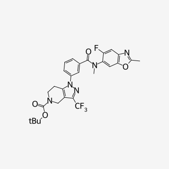 Cc1nc2cc(F)c(N(C)C(=O)c3cccc(-n4nc(C(F)(F)F)c5c4CCN(C(=O)OC(C)(C)C)C5)c3)cc2o1